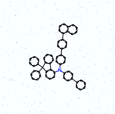 c1ccc(-c2ccc(N(c3ccc(-c4ccc(-c5cccc6ccccc56)cc4)cc3)c3cccc4c3-c3ccccc3C4(c3ccccc3)c3ccccc3)cc2)cc1